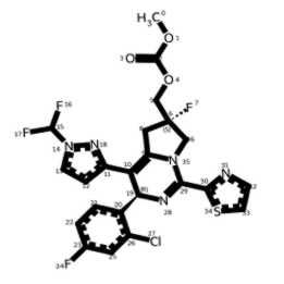 COC(=O)OC[C@]1(F)CC2=C(c3ccn(C(F)F)n3)[C@H](c3ccc(F)cc3Cl)N=C(c3nccs3)N2C1